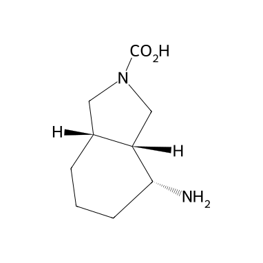 N[C@@H]1CCC[C@@H]2CN(C(=O)O)C[C@@H]21